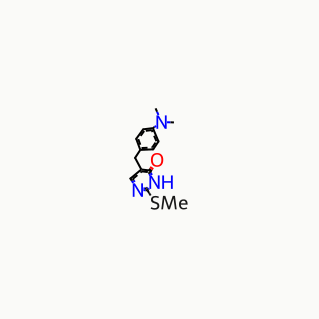 CSc1ncc(Cc2ccc(N(C)C)cc2)c(=O)[nH]1